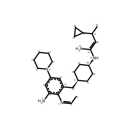 C/C=N\c1c(N)cc(N2CCCCC2)cc1C[C@H]1CC[C@@H](N/C(N)=C/C(C)C2CC2)CC1